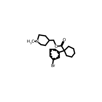 CN1CCC(COC(=O)C2(c3cccc(Br)c3)CCCCC2)CC1